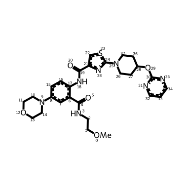 COCCNC(=O)c1cc(N2CCOCC2)ccc1NC(=O)c1csc(N2CCC(Oc3ncccn3)CC2)n1